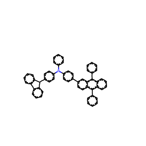 c1ccc(-c2c3ccccc3c(-c3ccccc3)c3cc(-c4ccc(N(c5ccccc5)c5ccc(C6c7ccccc7-c7ccccc76)cc5)cc4)ccc23)cc1